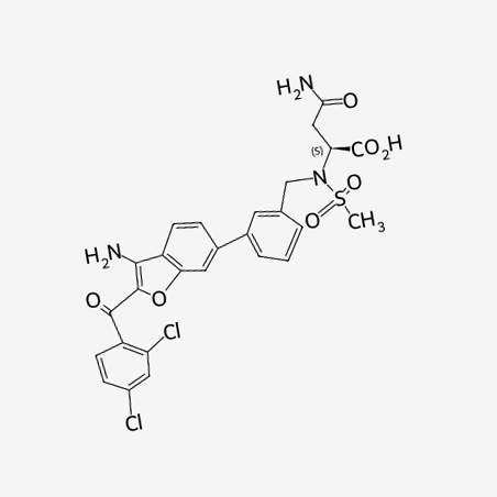 CS(=O)(=O)N(Cc1cccc(-c2ccc3c(N)c(C(=O)c4ccc(Cl)cc4Cl)oc3c2)c1)[C@@H](CC(N)=O)C(=O)O